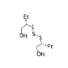 CCC(CO)SSSC(CC)CO